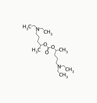 CCN(CC)CCCC(C)OC(=O)OC(C)CCCN(CC)CC